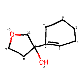 OC1(C2=CCCCC2)CCOC1